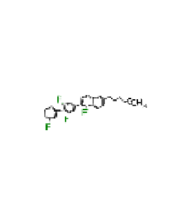 CCCCCCc1ccc2c(F)c(-c3cc(F)c(-c4cccc(F)c4)c(F)c3)ccc2c1